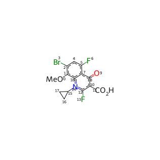 COc1c(Br)cc(F)c2c(=O)c(C(=O)O)c(F)n(C3CC3)c12